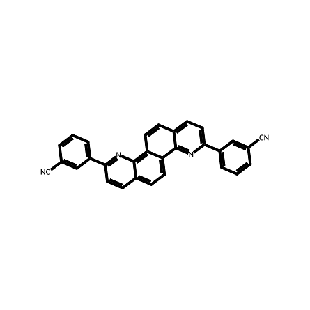 N#Cc1cccc(-c2ccc3ccc4c(ccc5ccc(-c6cccc(C#N)c6)nc54)c3n2)c1